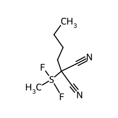 CCCCC(C#N)(C#N)S(C)(F)F